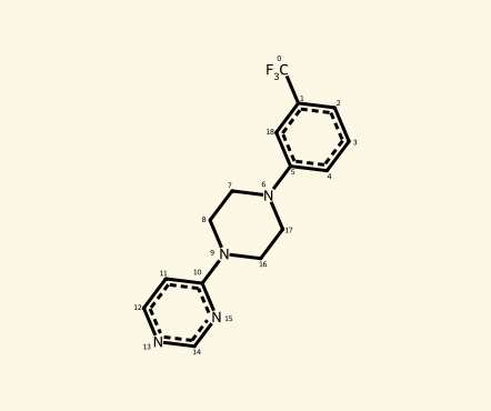 FC(F)(F)c1cccc(N2CCN(c3ccncn3)CC2)c1